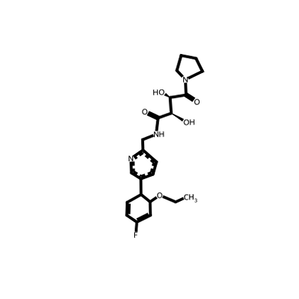 CCOC1C=C(F)C=CC1c1ccc(CNC(=O)[C@H](O)[C@@H](O)C(=O)N2CCCC2)nc1